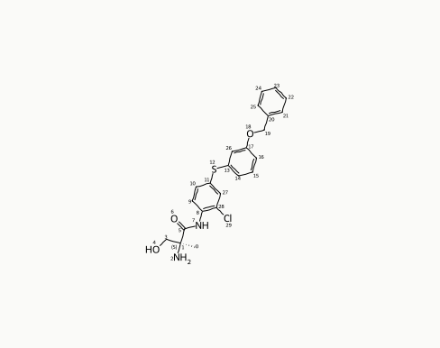 C[C@](N)(CO)C(=O)Nc1ccc(Sc2cccc(OCc3ccccc3)c2)cc1Cl